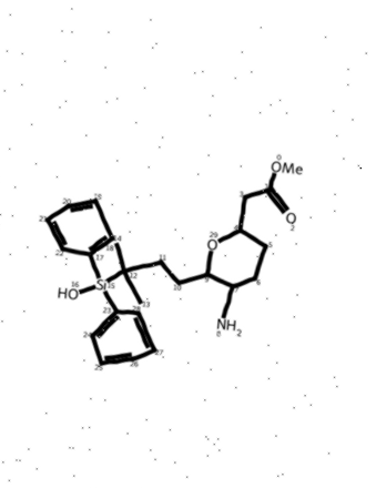 COC(=O)CC1CCC(N)C(CCC(C)(C)[Si](O)(c2ccccc2)c2ccccc2)O1